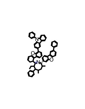 CCC1/C(C2CC=Cc3oc4c(-c5ccc6c(c5)c5ccccc5n6-c5ccccc5)cccc4c32)=N\[C@H](c2ccc3c(c2)oc2ccc(-c4ccccc4)cc23)C(C)CC(C)C1c1ccccc1